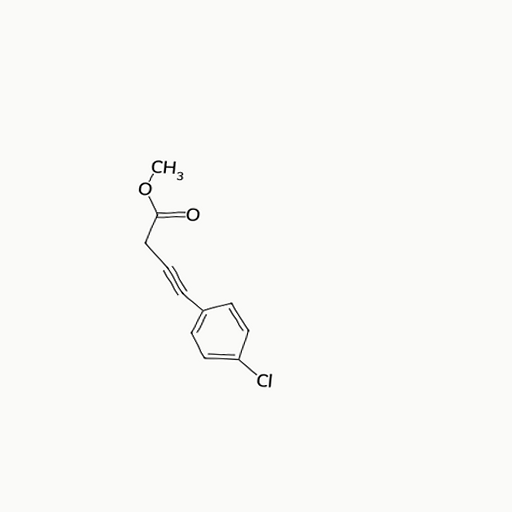 COC(=O)CC#Cc1ccc(Cl)cc1